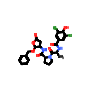 C[C@H](NC(=O)c1cc(Cl)c(O)c(Cl)c1)C(=O)N1CCC[C@H]1C(=O)NC1CC(=O)OC1OCc1ccccc1